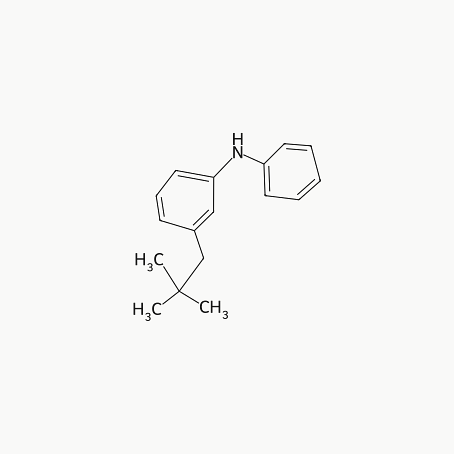 CC(C)(C)Cc1cccc(Nc2ccccc2)c1